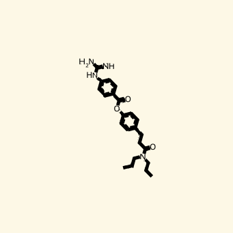 CCCN(CCC)C(=O)CCc1ccc(OC(=O)c2ccc(NC(=N)N)cc2)cc1